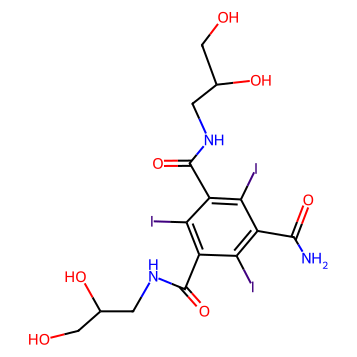 NC(=O)c1c(I)c(C(=O)NCC(O)CO)c(I)c(C(=O)NCC(O)CO)c1I